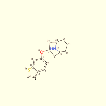 c1cc2ccc(OC3CC4CCCC(C3)N4)cc2s1